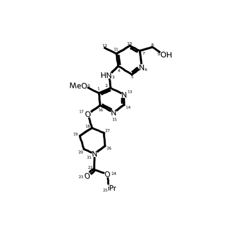 COc1c(Nc2cnc(CO)cc2C)ncnc1OC1CCN(C(=O)OC(C)C)CC1